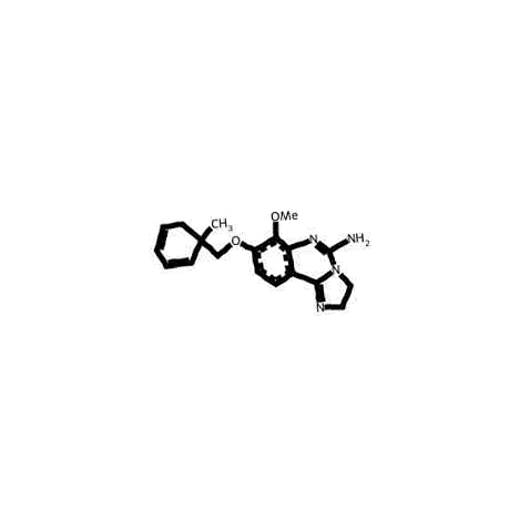 COc1c(OCC2(C)C=CC=CC2)ccc2c1N=C(N)N1CCN=C21